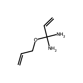 C=CCOC(N)(N)C=C